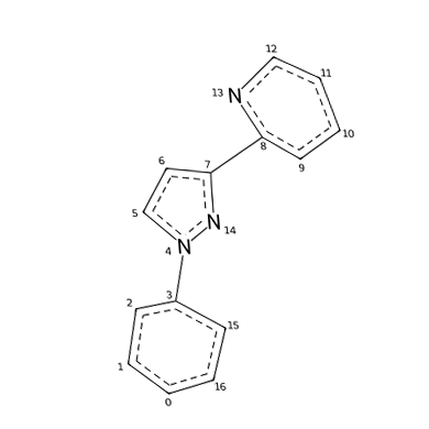 c1ccc(-n2ccc(-c3ccccn3)n2)cc1